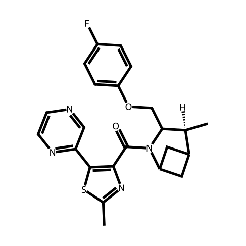 Cc1nc(C(=O)N2C3CC(C3)[C@H](C)C2COc2ccc(F)cc2)c(-c2cnccn2)s1